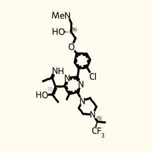 CNC[C@@H](O)COc1ccc(Cl)c(-c2nc(/C(C(C)=N)=C(\C)O)c(C)c(N3CCN([C@@H](C)C(F)(F)F)CC3)n2)c1